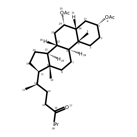 CC(=O)O[C@@H]1CC[C@]2(C)[C@H]3CC[C@]4(C)[C@@H]([C@H](C)CCC(=O)C(C)C)CC[C@H]4[C@@H]3C[C@H](OC(C)=O)[C@@H]2C1